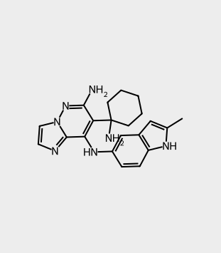 Cc1cc2cc(Nc3c(C4(N)CCCCC4)c(N)nn4ccnc34)ccc2[nH]1